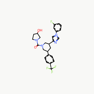 O=C(N1CCC(O)C1)N1CC(c2ccc(C(F)(F)F)cc2)CC(c2cn(-c3cccc(F)c3)cn2)C1